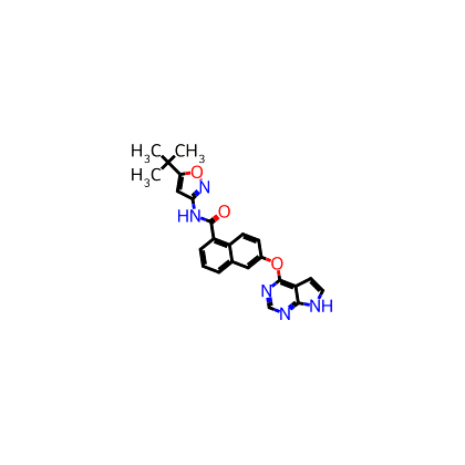 CC(C)(C)c1cc(NC(=O)c2cccc3cc(Oc4ncnc5[nH]ccc45)ccc23)no1